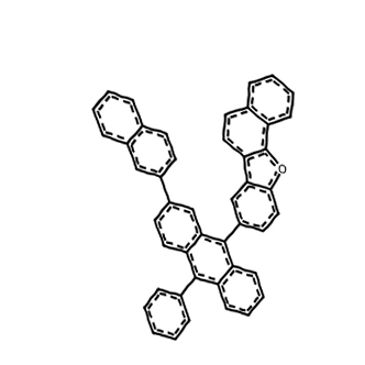 c1ccc(-c2c3ccccc3c(-c3ccc4oc5c6ccccc6ccc5c4c3)c3cc(-c4ccc5ccccc5c4)ccc23)cc1